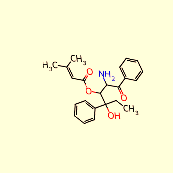 CCC(O)(c1ccccc1)C(OC(=O)C=C(C)C)C(N)C(=O)c1ccccc1